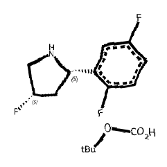 CC(C)(C)OC(=O)O.Fc1ccc(F)c([C@@H]2C[C@H](F)CN2)c1